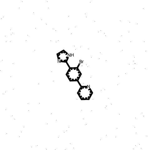 Brc1cc(-c2ccccn2)ccc1-c1ncc[nH]1